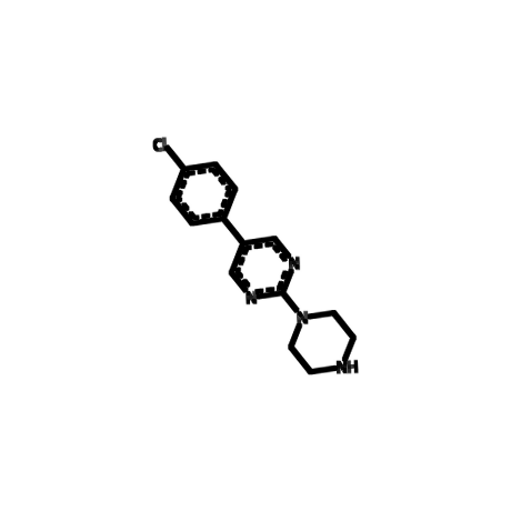 Clc1ccc(-c2cnc(N3CCNCC3)nc2)cc1